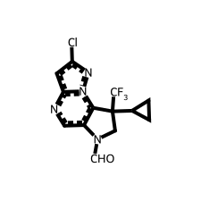 O=CN1CC(C2CC2)(C(F)(F)F)c2c1cnc1cc(Cl)nn21